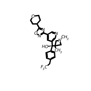 CN1CC(C)([C@](O)(c2ccc(CC(F)(F)F)cc2)c2cncc(-c3noc(C4CCOCC4)n3)c2)C1